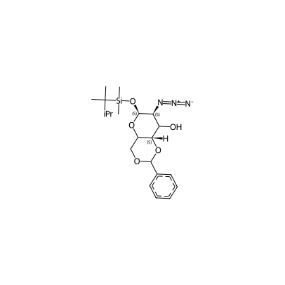 CC(C)C(C)(C)[Si](C)(C)O[C@@H]1OC2COC(c3ccccc3)O[C@H]2C(O)[C@@H]1N=[N+]=[N-]